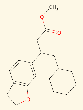 COC(=O)CC(CC1CCCCC1)c1ccc2c(c1)OCC2